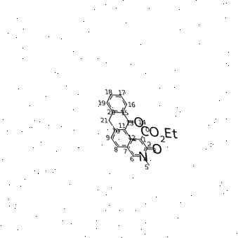 CCOC(=O)c1c(=O)n(C)cc2ccc3c(c12)C(=O)c1ccccc1C3